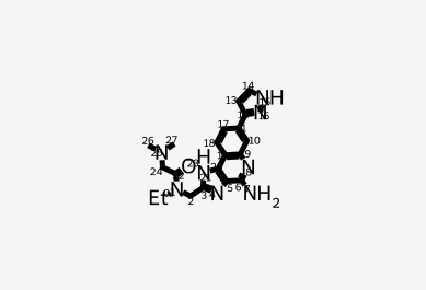 CCN(Cc1nc2c(N)nc3cc(-c4cc[nH]n4)ccc3c2[nH]1)C(=O)CN(C)C